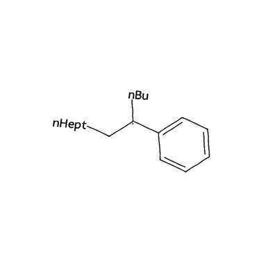 CCCCCCCC[C](CCCC)c1ccccc1